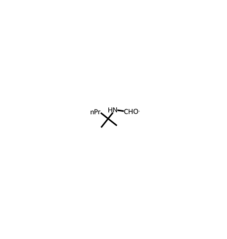 CCCC(C)(C)N[C]=O